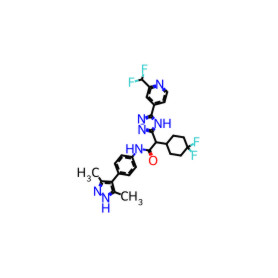 Cc1n[nH]c(C)c1-c1ccc(NC(=O)C(c2nnc(-c3ccnc(C(F)F)c3)[nH]2)C2CCC(F)(F)CC2)cc1